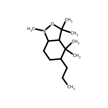 CCCC1CCC2C(C(C)(C)ON2C)C1(C)C